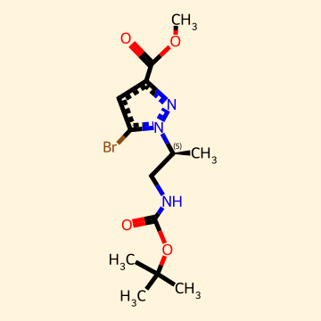 COC(=O)c1cc(Br)n([C@@H](C)CNC(=O)OC(C)(C)C)n1